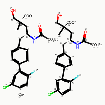 CCOC(=O)C(=O)N[C@H](Cc1ccc(-c2cc(Cl)ccc2F)cc1)C[C@@](C)(CO)C(=O)[O-].CCOC(=O)C(=O)N[C@H](Cc1ccc(-c2cc(Cl)ccc2F)cc1)C[C@@](C)(CO)C(=O)[O-].[Ca+2]